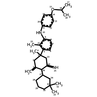 C=C1CC(C)(c2cccc(Nc3ccc(OC(C)C)cc3)c2C)CC(=N)C1C1CCCC(C)(C)C1